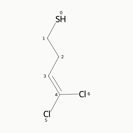 SCCC=C(Cl)Cl